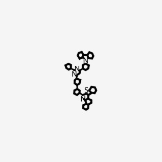 c1ccc(-c2nc(-c3ccc(-c4cccc(-c5nc6c7ccccc7ccc6c6c5sc5ccccc56)c4)cc3)cc(-c3cccc(-n4c5ccccc5c5ccccc54)c3)n2)cc1